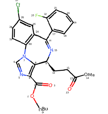 CCCCOC(=O)c1ncn2c1[C@H](CCC(=O)OC)N=C(c1ccccc1F)c1cc(Cl)ccc1-2